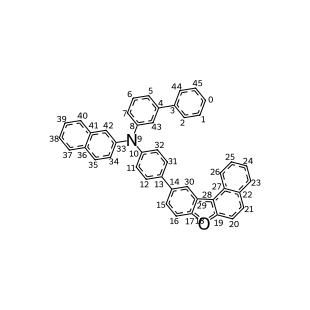 c1ccc(-c2cccc(N(c3ccc(-c4ccc5oc6ccc7ccccc7c6c5c4)cc3)c3ccc4ccccc4c3)c2)cc1